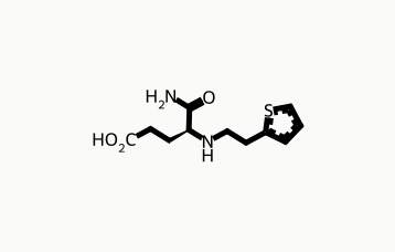 NC(=O)[C@H](CCC(=O)O)NCCc1cccs1